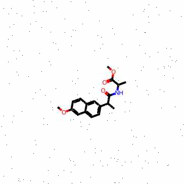 COC(=O)C(C)NC(=O)C(C)c1ccc2cc(OC)ccc2c1